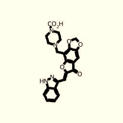 O=C1/C(=C/c2n[nH]c3ccccc23)Oc2c1cc1c(c2CN2CCN(C(=O)O)CC2)OCO1